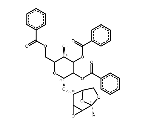 O=C(OCC1O[C@@H](O[C@@H]2C3CO[C@H](O3)C3OC32)C(OC(=O)c2ccccc2)C(OC(=O)c2ccccc2)[C@@H]1O)c1ccccc1